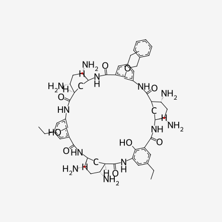 CCc1cc2c(O)c(c1)C(=O)N[C@H]1CC(C(=O)Nc3cc(CC)cc(c3OCc3ccccc3)C(=O)N[C@H]3C[C@@H](C(=O)Nc4cc(CC)cc(c4O)C(=O)N[C@H]4C[C@@H](C(=O)N2)[C@H](N)C[C@@H]4N)[C@H](N)C[C@@H]3N)[C@H](N)C[C@@H]1N